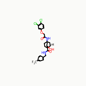 O=C(COc1ccc(Cl)c(Cl)c1)NC12CCC(C(=O)NCc3ccc(C(F)(F)F)cc3)(CC1)[C@H](O)C2